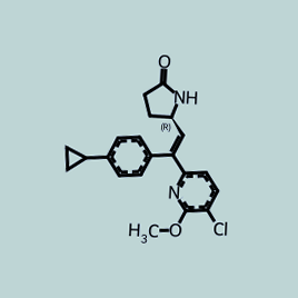 COc1nc(C(=C[C@H]2CCC(=O)N2)c2ccc(C3CC3)cc2)ccc1Cl